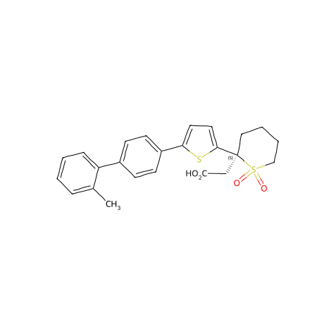 Cc1ccccc1-c1ccc(-c2ccc([C@@]3(CC(=O)O)CCCCS3(=O)=O)s2)cc1